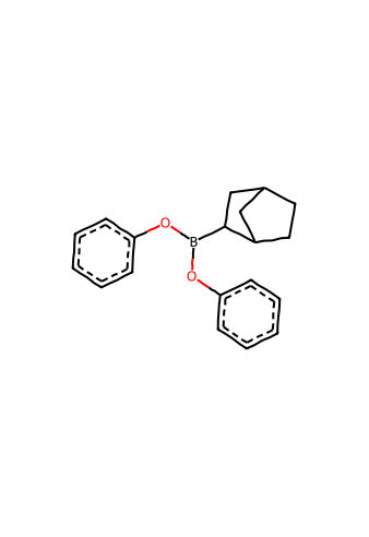 c1ccc(OB(Oc2ccccc2)C2CC3CCC2C3)cc1